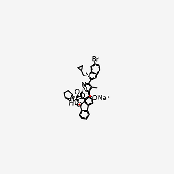 COc1cc(C(=O)N2CC3CCC2[C@@H]3N(CC2c3ccccc3-c3ccccc32)C(=O)[O-])cn2nc(-c3cc4ccc(Br)cc4n3CC3CC3)c(C)c12.[Na+]